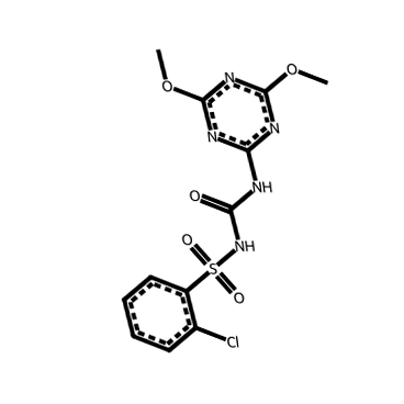 COc1nc(NC(=O)NS(=O)(=O)c2ccccc2Cl)nc(OC)n1